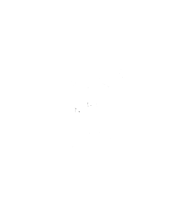 O=C(N/N=C1/CCc2ccccc21)c1ccccc1